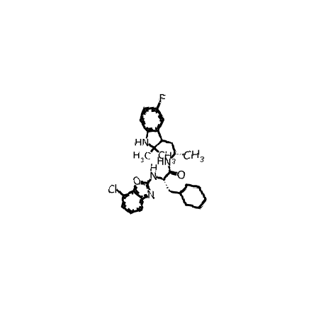 C[C@@H](CC1c2cc(F)ccc2NC1(C)C)NC(=O)[C@H](CC1CCCCC1)Nc1nc2cccc(Cl)c2o1